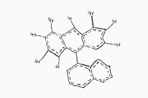 [2H]c1cc2c(-c3cccc4ccccc34)c3c([2H])c([2H])c([2H])c([2H])c3c([2H])c2c([2H])c1[2H]